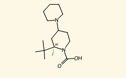 CC(C)(C)[C@@]1(C)CC(N2CCCCC2)CCN1C(=O)O